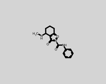 CNC1CCCc2on(C(=O)Nc3ccccc3)c(=O)c21